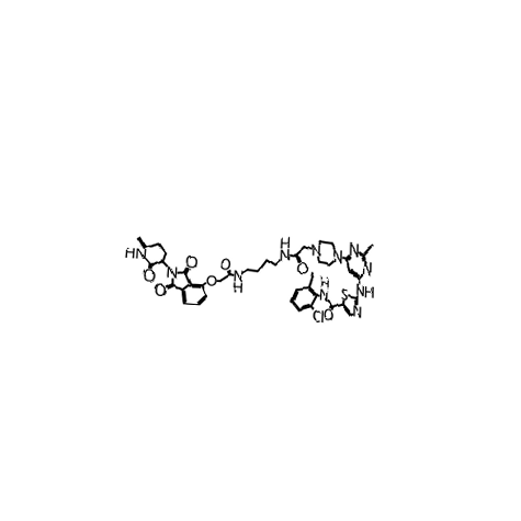 C=C1CCC(N2C(=O)c3cccc(OCC(=O)NCCCCNC(=O)CN4CCN(c5cc(Nc6ncc(C(=O)Nc7c(C)cccc7Cl)s6)nc(C)n5)CC4)c3C2=O)C(=O)N1